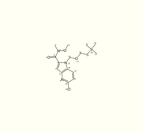 CON(C)C(=O)c1cc2nc(Cl)ccc2n1COCC[Si](C)(C)C